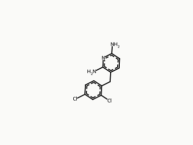 Nc1ccc(Cc2ccc(Cl)cc2Cl)c(N)n1